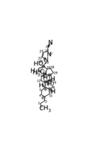 CCC[C@H]1CC[C@H]2[C@H](CC[C@@H]3[C@@H]2CC[C@]2(C)C([C@@](C)(O)Cn4ccc(C#N)n4)CC[C@@H]32)C1